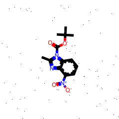 Cc1nc2c([N+](=O)[O-])cccc2n1C(=O)OC(C)(C)C